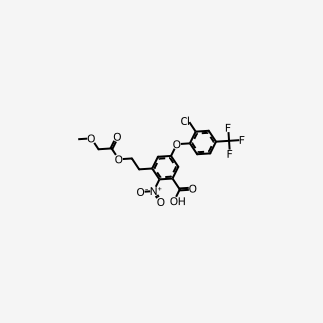 COCC(=O)OCCc1cc(Oc2ccc(C(F)(F)F)cc2Cl)cc(C(=O)O)c1[N+](=O)[O-]